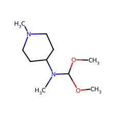 COC(OC)N(C)C1CCN(C)CC1